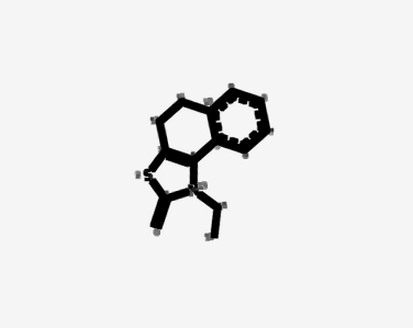 C=C1SC2=C(c3ccccc3CC2)N1CC